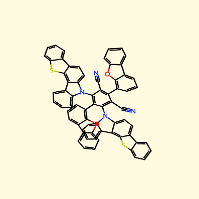 N#Cc1c(-c2cccc3c2oc2ccccc23)c(C#N)c(-n2c3ccccc3c3c4sc5ccccc5c4ccc32)c(-c2cccc3c2oc2ccccc23)c1-n1c2ccccc2c2c3sc4ccccc4c3ccc21